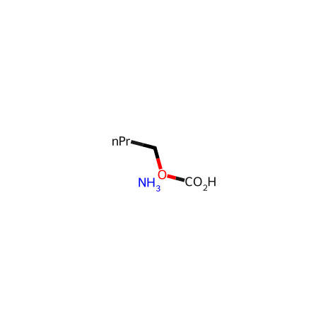 CCCCOC(=O)O.N